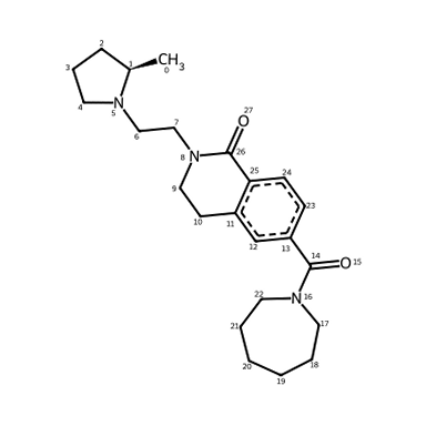 C[C@@H]1CCCN1CCN1CCc2cc(C(=O)N3CCCCCC3)ccc2C1=O